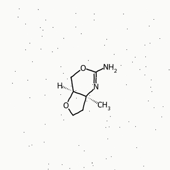 C[C@]12CCO[C@H]1COC(N)=N2